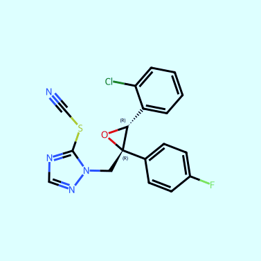 N#CSc1ncnn1C[C@@]1(c2ccc(F)cc2)O[C@@H]1c1ccccc1Cl